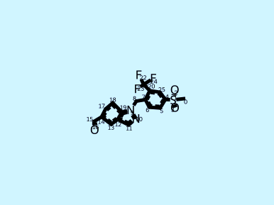 CS(=O)(=O)c1ccc(Cn2ncc3cc(C=O)ccc32)c(C(F)(F)F)c1